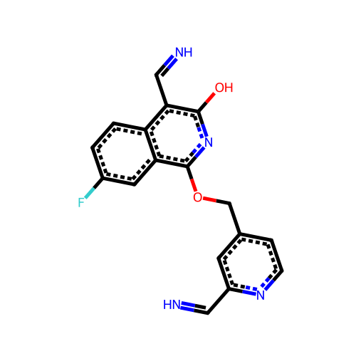 N=Cc1cc(COc2nc(O)c(C=N)c3ccc(F)cc23)ccn1